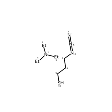 CCN(CC)CC.[N-]=[N+]=NCCCS